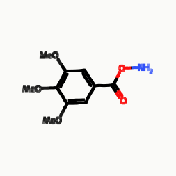 COc1cc(C(=O)ON)cc(OC)c1OC